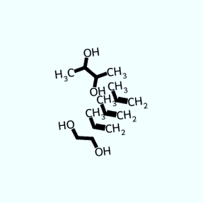 C=CC.C=CC.C=CC.CC(O)C(C)O.OCCO